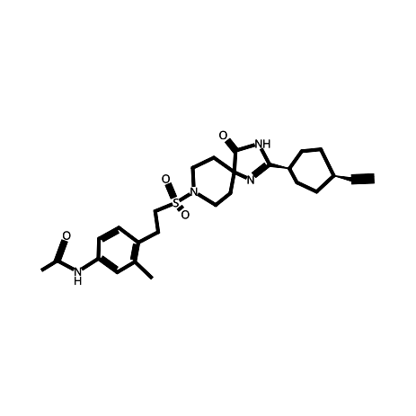 C#C[C@H]1CC[C@@H](C2=NC3(CCN(S(=O)(=O)CCc4ccc(NC(C)=O)cc4C)CC3)C(=O)N2)CC1